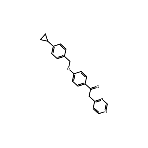 O=C(Cc1ccncn1)c1ccc(OCc2ccc(C3CC3)cc2)cc1